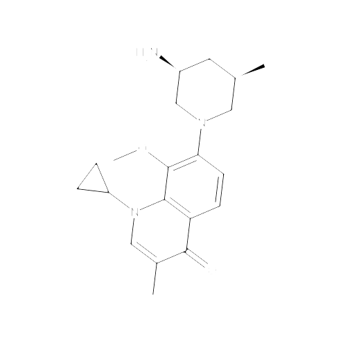 COc1c(N2C[C@H](C)C[C@H](N)C2)ccc2c(=O)c(C)cn(C3CC3)c12